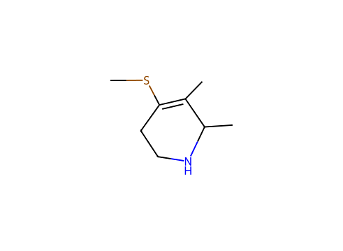 CSC1=C(C)C(C)NCC1